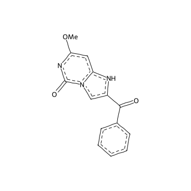 COc1cc2[nH]c(C(=O)c3ccccc3)cn2c(=O)n1